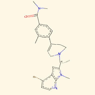 Cc1cc(C(=O)N(C)C)ccc1C1=CCN([C@H](C)c2cc3c(Br)ccnc3n2C)CC1